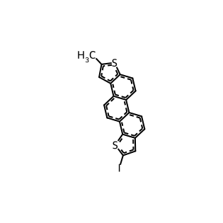 Cc1cc2c(ccc3c2ccc2c3ccc3cc(I)sc32)s1